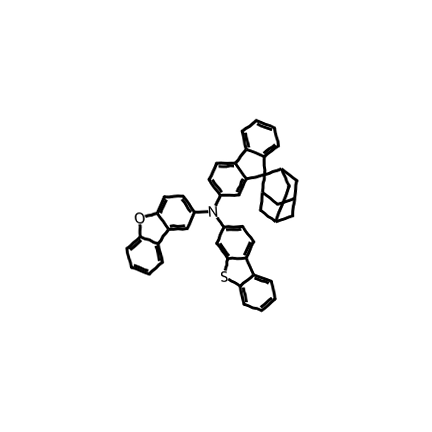 c1ccc2c(c1)-c1ccc(N(c3ccc4c(c3)sc3ccccc34)c3ccc4oc5ccccc5c4c3)cc1C21C2CC3CC(C2)CC1C3